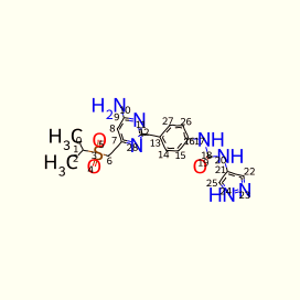 CC(C)S(=O)(=O)Cc1cc(N)nc(-c2ccc(NC(=O)Nc3cn[nH]c3)cc2)n1